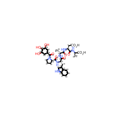 CC(C)[C@@H](NC(=O)[C@H](CC(=O)O)NC(=O)[C@H](NC(=O)[C@H](Cc1c[nH]c2ccccc12)NC(=O)[C@H]1CCCN1C(=O)c1cc(O)c(O)c(O)c1)C(C)C)C(=O)O